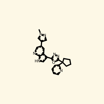 Cn1cc(-c2cnc3[nH]cc(-c4nnc(C5(c6ccccn6)CCCC5)o4)c3c2)cn1